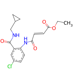 CCOC(=O)/C=C/C(=O)Nc1ccc(Cl)cc1C(=O)NCC1CC1